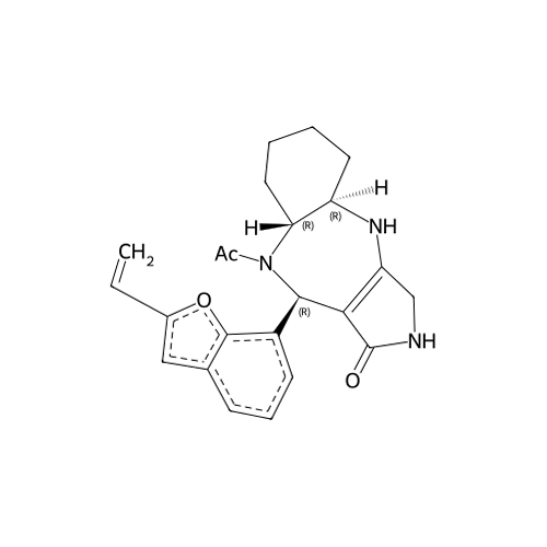 C=Cc1cc2cccc([C@@H]3C4=C(CNC4=O)N[C@@H]4CCCC[C@H]4N3C(C)=O)c2o1